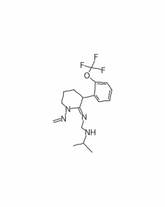 C=NN1CCCC(c2ccccc2OC(F)(F)F)/C1=N/CNC(C)C